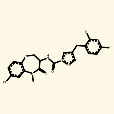 CN1C(=O)C(NC(=O)n2cc(Cc3ccc(F)nc3F)cn2)COc2ccc(Br)cc21